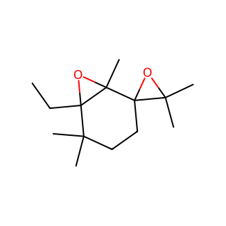 CCC12OC1(C)C1(CCC2(C)C)OC1(C)C